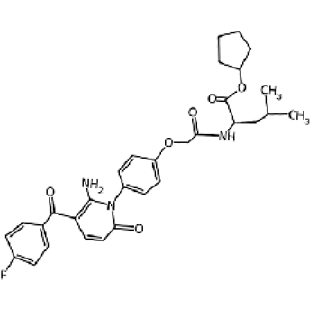 CC(C)C[C@@H](NC(=O)COc1ccc(-n2c(N)c(C(=O)c3ccc(F)cc3)ccc2=O)cc1)C(=O)OC1CCCC1